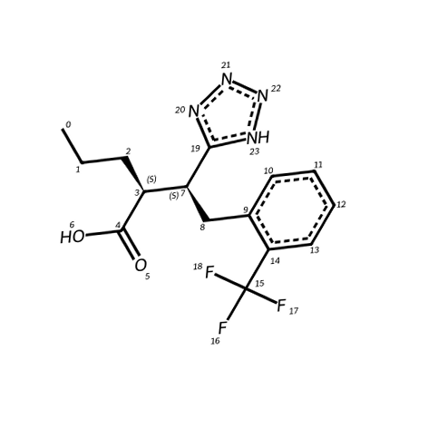 CCC[C@H](C(=O)O)[C@H](Cc1ccccc1C(F)(F)F)c1nnn[nH]1